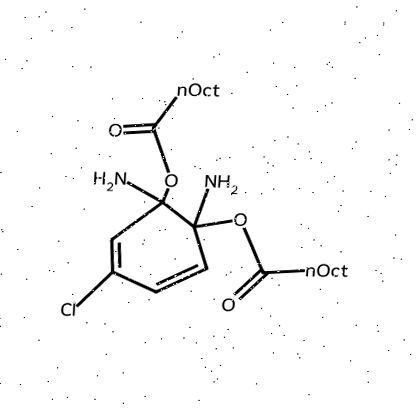 CCCCCCCCC(=O)OC1(N)C=CC(Cl)=CC1(N)OC(=O)CCCCCCCC